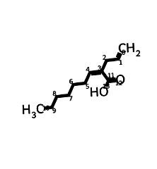 C=CCC(=CCCCCCC)C(=O)O